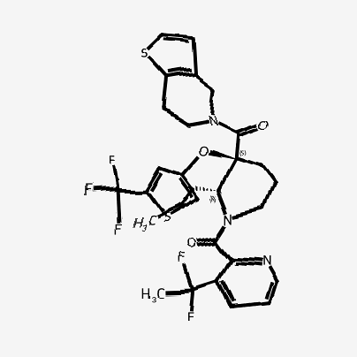 CCC[C@H]1N(C(=O)c2ncccc2C(C)(F)F)CCC[C@@]1(Oc1csc(C(F)(F)F)c1)C(=O)N1CCc2sccc2C1